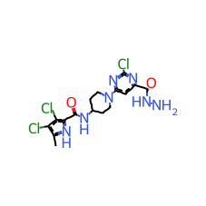 Cc1[nH]c(C(=O)NC2CCN(c3cc(C(=O)NN)nc(Cl)n3)CC2)c(Cl)c1Cl